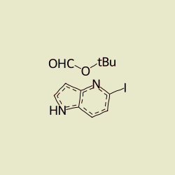 CC(C)(C)OC=O.Ic1ccc2[nH]ccc2n1